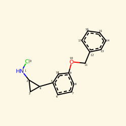 ClNC1CC1c1cccc(OCc2ccccc2)c1